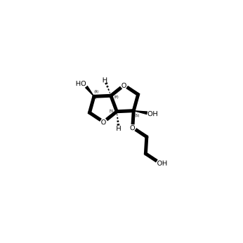 OCCO[C@@]1(O)CO[C@@H]2[C@H](O)CO[C@@H]21